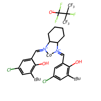 CC(C)(C)c1cc(Cl)cc(C=[N+]2[Co][N+](=Cc3cc(Cl)cc(C(C)(C)C)c3O)C3CCCCC32)c1O.[O-]C(F)(F)C(F)(C(F)(F)F)C(F)(F)F